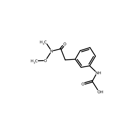 CON(C)C(=O)Cc1cccc(NC(=O)O)c1